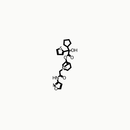 O=C(C[N+]12CCC(CC1)C(OC(=O)[C@@](O)(c1cccs1)C1CCCC1)C2)Nc1ccon1